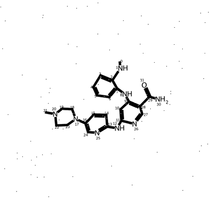 CNc1ccccc1Nc1cc(Nc2ccc(N3CCN(C)CC3)cn2)ncc1C(N)=O